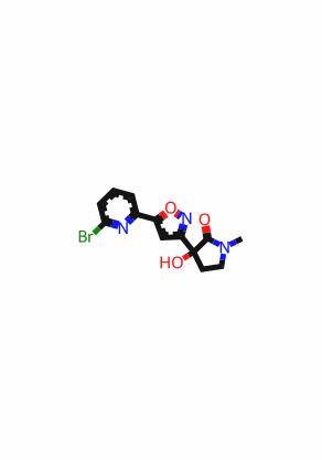 CN1CCC(O)(c2cc(-c3cccc(Br)n3)on2)C1=O